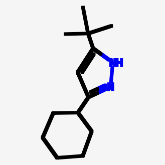 CC(C)(C)c1cc(C2CCCCC2)n[nH]1